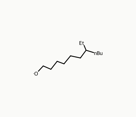 CCCCC(CC)CCCCCC[O]